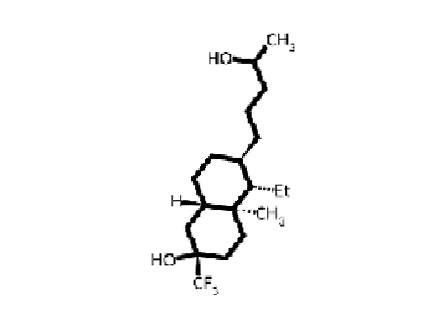 CC[C@H]1[C@H](CCCC(C)O)CC[C@H]2C[C@](O)(C(F)(F)F)CC[C@@]21C